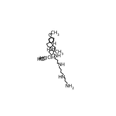 COc1ccc2c(c1)CC[C@@H]1[C@@H]2CC[C@]2(C)[C@@H](NCCCNCCCCNCCCN)CC[C@@H]12.Cl.Cl.Cl.Cl